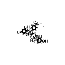 C=N/C(=N\c1c(C)nc(Nc2c(Cl)cc(Cl)cc2Cl)n1[C@H]1CC[C@@H](C(N)=O)CC1)N[C@H]1CCC[C@@H](O)C1